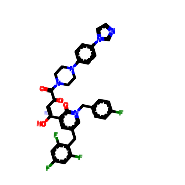 O=C(/C=C(/O)c1cc(Cc2c(F)cc(F)cc2F)cn(Cc2ccc(F)cc2)c1=O)C(=O)N1CCN(c2ccc(-n3ccnc3)cc2)CC1